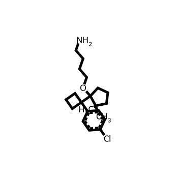 CC1(C)CCCC1(OCCCCN)C1(c2ccc(Cl)cc2)CCC1